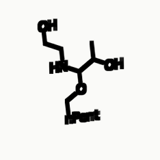 CCCCCCOC(NCCO)C(C)O